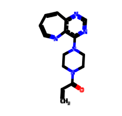 C=CC(=O)N1CCN(c2ncnc3c2N=C=CC=C3)CC1